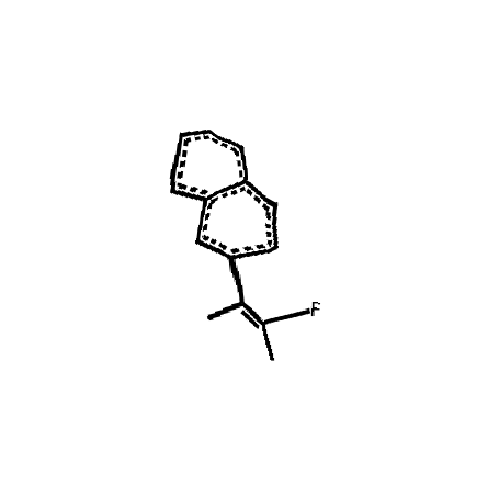 CC(F)=C(C)c1ccc2ccccc2c1